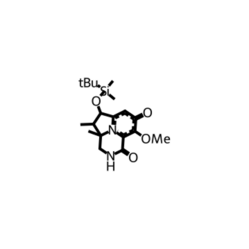 COc1c2n3c(cc1=O)C(O[Si](C)(C)C(C)(C)C)C(C)C3(C)CNC2=O